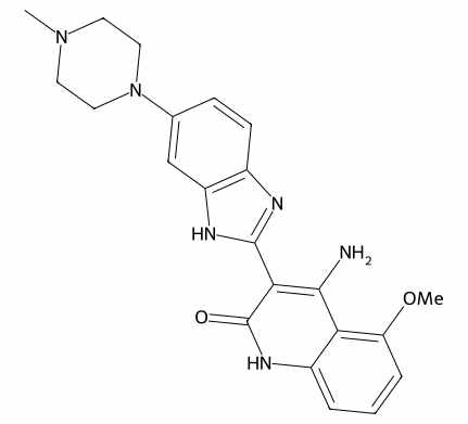 COc1cccc2[nH]c(=O)c(-c3nc4ccc(N5CCN(C)CC5)cc4[nH]3)c(N)c12